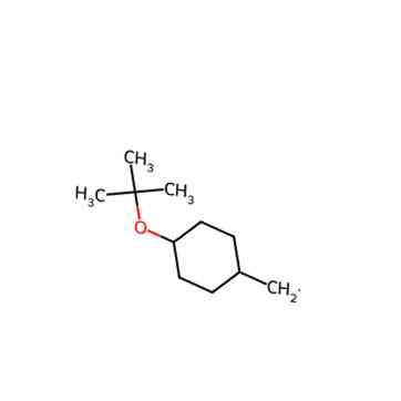 [CH2]C1CCC(OC(C)(C)C)CC1